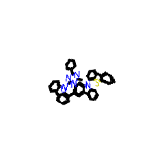 Cc1nc(-c2ccccc2)nc(-n2c3ccccc3c3cccc(-c4ccc5c(c4)c4ccccc4n5-c4cccc5c4sc4ccccc45)c32)n1